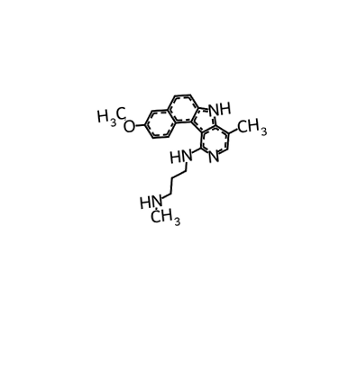 CNCCCNc1ncc(C)c2[nH]c3ccc4cc(OC)ccc4c3c12